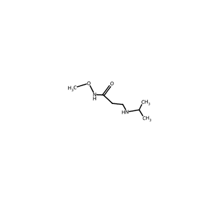 CONC(=O)CCNC(C)C